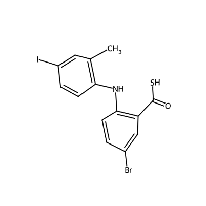 Cc1cc(I)ccc1Nc1ccc(Br)cc1C(=O)S